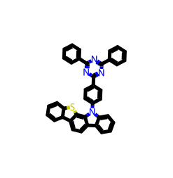 C1=CC2Sc3c(ccc4c5ccccc5n(-c5ccc(-c6nc(-c7ccccc7)nc(-c7ccccc7)n6)cc5)c34)C2C=C1